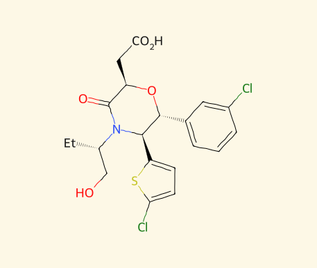 CC[C@@H](CO)N1C(=O)[C@@H](CC(=O)O)O[C@H](c2cccc(Cl)c2)[C@H]1c1ccc(Cl)s1